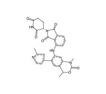 Cc1cc(-c2cc3c(cc2Nc2cccc4c2C(=O)N([C@H]2CCC(=O)NC2=O)C4=O)N(C)C(=O)OC3C)ccn1